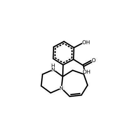 O=C(O)c1c(O)cccc1C12CCCC=CN1CCCN2